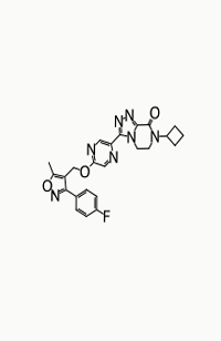 Cc1onc(-c2ccc(F)cc2)c1COc1cnc(-c2nnc3n2CCN(C2CCC2)C3=O)cn1